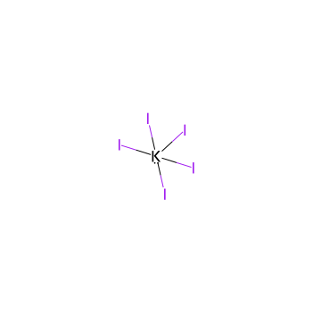 [I][K]([I])([I])([I])[I]